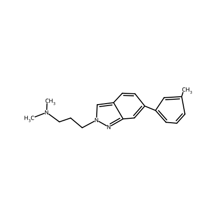 Cc1cccc(-c2ccc3cn(CCCN(C)C)nc3c2)c1